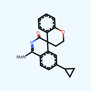 CNC1=NC(=O)C2(CCOc3ccccc32)c2cc(C3CC3)ccc21